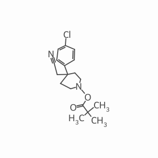 CC(C)(C)C(=O)ON1CCC(CC#N)(c2ccc(Cl)cc2)CC1